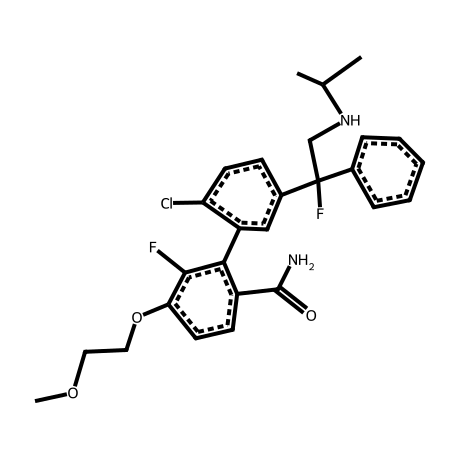 COCCOc1ccc(C(N)=O)c(-c2cc(C(F)(CNC(C)C)c3ccccc3)ccc2Cl)c1F